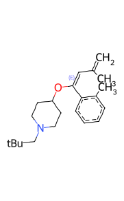 C=C(C)/C=C(/OC1CCN(CC(C)(C)C)CC1)c1ccccc1C